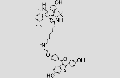 CCN(CCCCCCCC(=O)NC(C(=O)N1C[C@H](O)C[C@H]1C(=O)N[C@@H](C)c1ccc(C(C)C)cc1)C(C)(C)C)CCOc1ccc(C(=O)c2c(-c3ccc(O)cc3)sc3cc(O)ccc23)cc1